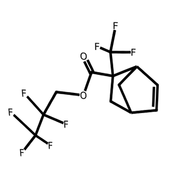 O=C(OCC(F)(F)C(F)(F)F)C1(C(F)(F)F)CC2C=CC1C2